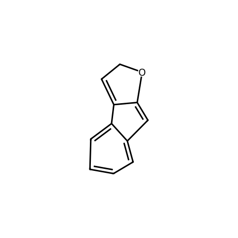 C1=C2OCC=C2c2ccccc21